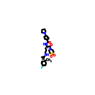 CC1([C@@H]2CC2NCCC[C@H](NC(=O)c2ccc(N3CCCC3)cc2)C(=O)N2CCS(=O)(=O)CC2)C=CC(F)=CC1